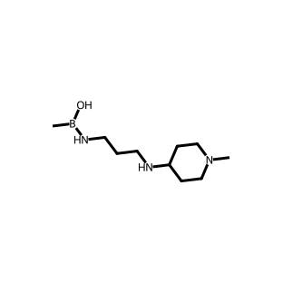 CB(O)NCCCNC1CCN(C)CC1